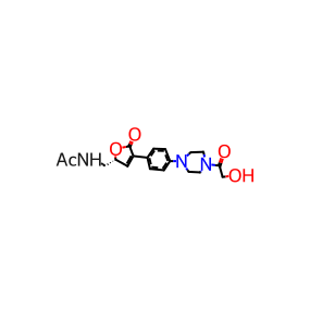 CC(=O)NC[C@H]1C=C(c2ccc(N3CCN(C(=O)CO)CC3)cc2)C(=O)O1